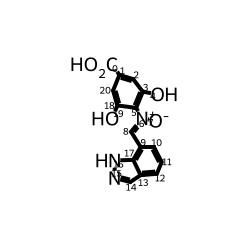 O=C(O)c1cc(O)c(/[N+]([O-])=C/c2cccc3cn[nH]c23)c(O)c1